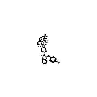 CN(c1nccc(=O)n1C(=O)C(C)(C)C(C)(C)C)C1CCN(c2nc3ccccc3n2Cc2ccc(F)cc2)CC1